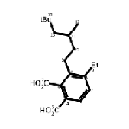 CCc1ccc(C(=O)O)c(C(=O)O)c1CCC(C)CC(C)(C)C